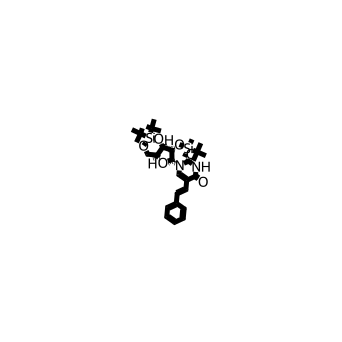 CC(C)(C)[Si](C)(C)O[C@H]1[C@@H]2O[Si](C(C)(C)C)(C(C)(C)C)OC[C@H]2O[C@H]1n1cc(C=Cc2ccccc2)c(=O)[nH]c1=O